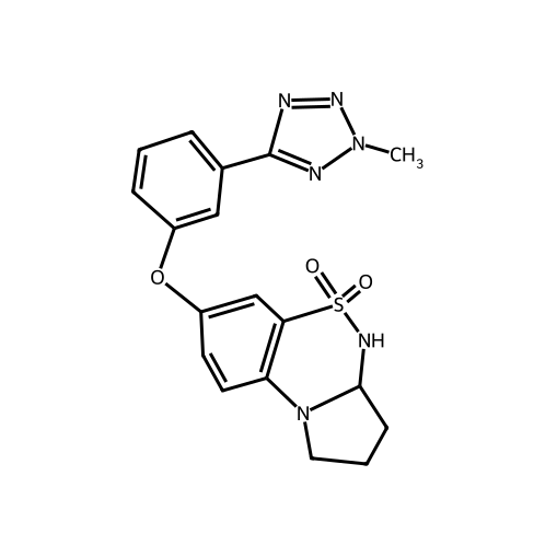 Cn1nnc(-c2cccc(Oc3ccc4c(c3)S(=O)(=O)NC3CCCN43)c2)n1